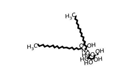 CCCCCCCCCCCCC/C=C/[C@@H](O)[C@H](CO[C@@H]1O[C@H](CO)[C@@H](O)C(O)C1O)NC(=O)CCCCCCCCCCCCCCCCCCC